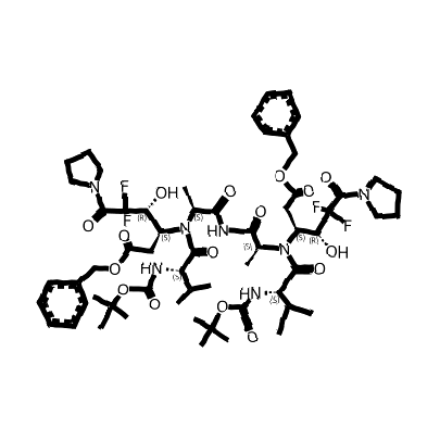 CC(C)[C@H](NC(=O)OC(C)(C)C)C(=O)N([C@@H](C)C(=O)NC(=O)[C@H](C)N(C(=O)[C@@H](NC(=O)OC(C)(C)C)C(C)C)[C@@H](CC(=O)OCc1ccccc1)[C@@H](O)C(F)(F)C(=O)N1CCCC1)[C@@H](CC(=O)OCc1ccccc1)[C@@H](O)C(F)(F)C(=O)N1CCCC1